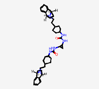 O=C(NC1CCC(CCN2[C@@H]3CC[C@H]2c2ccccc23)CC1)NC1CC1NC(=O)NC1CCC(CCN2[C@@H]3CC[C@H]2c2ccccc23)CC1